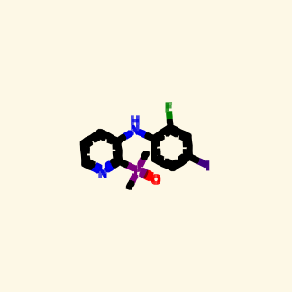 CP(C)(=O)c1ncccc1Nc1ccc(I)cc1F